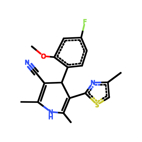 COc1cc(F)ccc1C1C(C#N)=C(C)NC(C)=C1c1nc(C)cs1